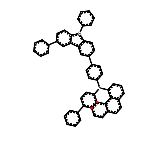 c1ccc(-c2ccc(N(c3ccc(-c4ccc5c(c4)c4cc(-c6ccccc6)ccc4n5-c4ccccc4)cc3)c3cccc4ccc5ccccc5c34)cc2)cc1